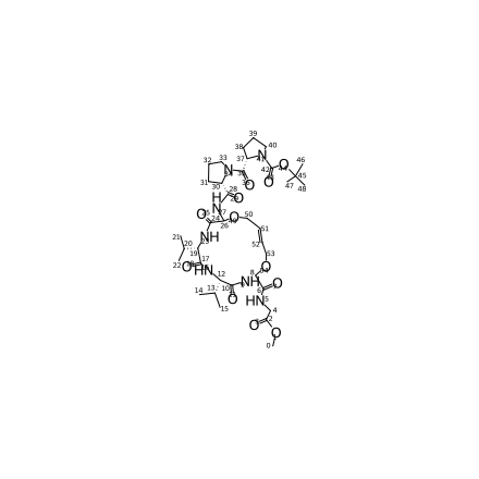 COC(=O)CNC(=O)C1NC(=O)[C@H](C(C)C)NC(=O)[C@H](C(C)C)NC(=O)C(NC(=O)[C@@H]2CCCN2C(=O)[C@@H]2CCCN2C(=O)OC(C)(C)C)OC/C=C/CO1